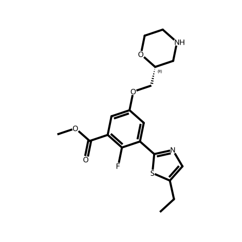 CCc1cnc(-c2cc(OC[C@H]3CNCCO3)cc(C(=O)OC)c2F)s1